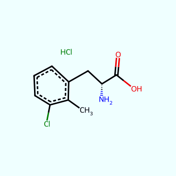 Cc1c(Cl)cccc1C[C@@H](N)C(=O)O.Cl